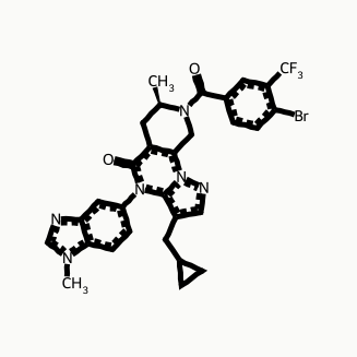 C[C@@H]1Cc2c(n3ncc(CC4CC4)c3n(-c3ccc4c(c3)ncn4C)c2=O)CN1C(=O)c1ccc(Br)c(C(F)(F)F)c1